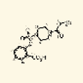 CC(C)(C)OC(=O)N1CCN(S(=O)(=O)Oc2ccccc2C(=O)O)CC1